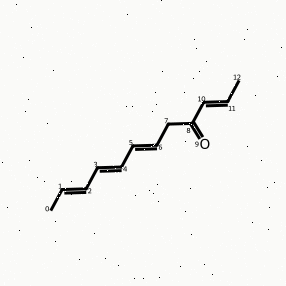 CC=CC=CC=CCC(=O)C=CC